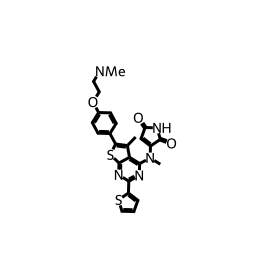 CNCCOc1ccc(-c2sc3nc(-c4cccs4)nc(N(C)C4=CC(=O)NC4=O)c3c2C)cc1